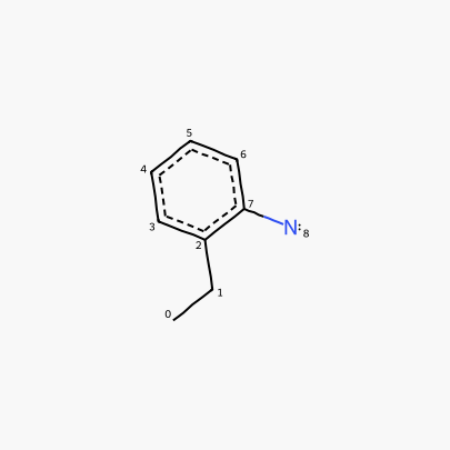 CCc1ccccc1[N]